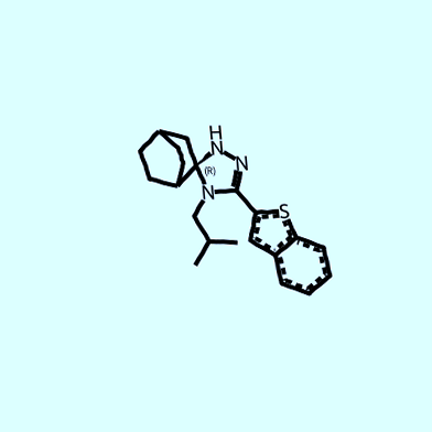 CC(C)CN1C(c2cc3ccccc3s2)=NN[C@@]12CC1CCC2CC1